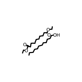 CCCCCCCCCCCCO.CCOC(=O)CCCCCCCCC(=O)OCC